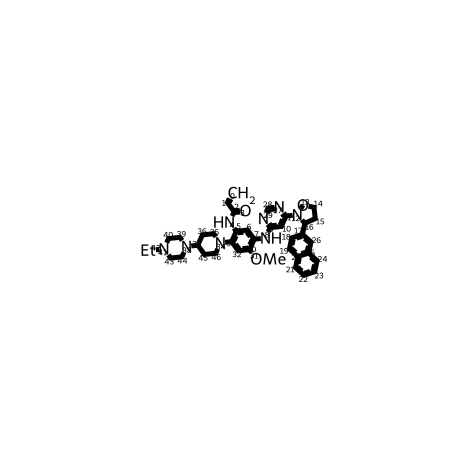 C=CC(=O)Nc1cc(Nc2cc(N3OCCC3c3ccc4ccccc4c3)ncn2)c(OC)cc1N1CCC(N2CCN(CC)CC2)CC1